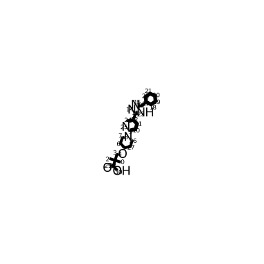 CC(C)(COC1CCN(c2ccc(-c3nnc(-c4ccccc4)[nH]3)cn2)CC1)C(=O)O